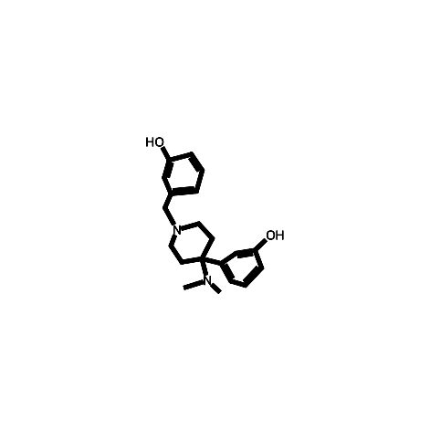 CN(C)C1(c2cccc(O)c2)CCN(Cc2cccc(O)c2)CC1